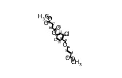 COC(=O)/C=C/COCc1ccc(OC(=O)/C=C/C(=O)OC)cc1Cl